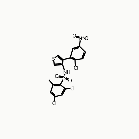 Cc1cc(Cl)cc(Cl)c1S(=O)(=O)Nc1cscc1-c1cc([N+](=O)[O-])ccc1Cl